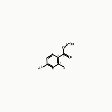 CC(=O)c1ccc(C(=O)OC(C)(C)C)c(C)c1